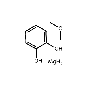 COC.Oc1ccccc1O.[MgH2]